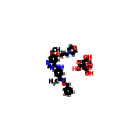 COc1cc2ncnc(Nc3ccc(/C(C)=N/OCc4ccccc4)cc3)c2cc1OCCCN1CCOCC1.O=C(O)CC(O)(CC(=O)O)C(=O)O